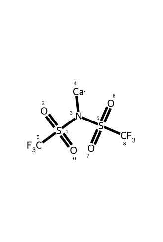 O=S(=O)([N]([Ca])S(=O)(=O)C(F)(F)F)C(F)(F)F